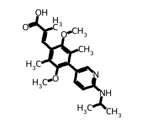 COc1c(C)c(-c2ccc(NC(C)C)nc2)c(OC)c(C)c1/C=C(\C)C(=O)O